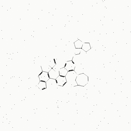 C=CC(F)(F)c1c(C)cc2[nH]ncc2c1-c1nccc2c1sc1nc(OC[C@@]34CCCN3C[C@H](F)C4)nc(N3CCOC[C@@](C)(O)C3)c12